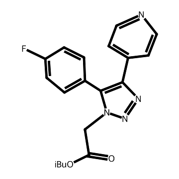 CC(C)COC(=O)Cn1nnc(-c2ccncc2)c1-c1ccc(F)cc1